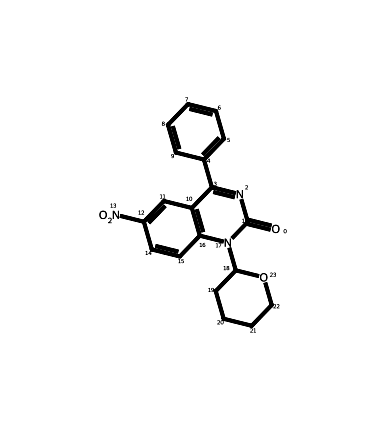 O=c1nc(-c2ccccc2)c2cc([N+](=O)[O-])ccc2n1C1CCCCO1